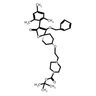 Cc1cc(C)c(C2=C(OCc3ccccc3)[C@]3(CC[C@@H](OCCN4CCN(C(=O)OC(C)(C)C)CC4)CC3)OC2=O)c(C)c1